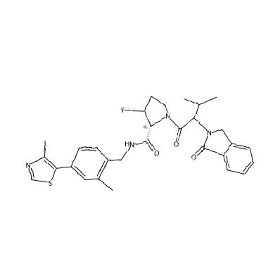 Cc1cc(-c2scnc2C)ccc1CNC(=O)[C@@H]1C(F)CCN1C(=O)C(C(C)C)N1Cc2ccccc2C1=O